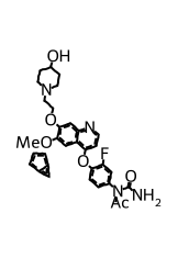 COc1cc2c(Oc3ccc(N(C(C)=O)C(N)=O)cc3F)ccnc2cc1OCCN1CCC(O)CC1.c1cc2cc-2c1